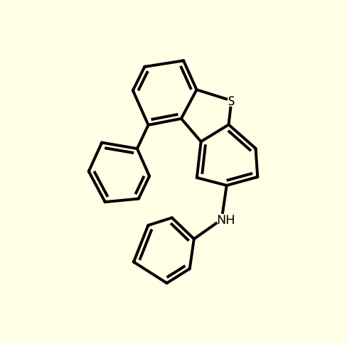 c1ccc(Nc2ccc3sc4cccc(-c5ccccc5)c4c3c2)cc1